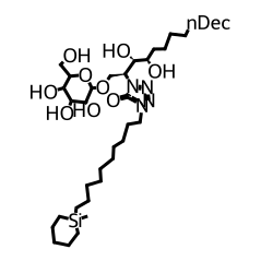 CCCCCCCCCCCCCC[C@@H](O)[C@@H](O)[C@H](COC1OC(CO)C(O)C(O)C1O)n1nnn(CCCCCCCCCC[Si]2(C)CCCCC2)c1=O